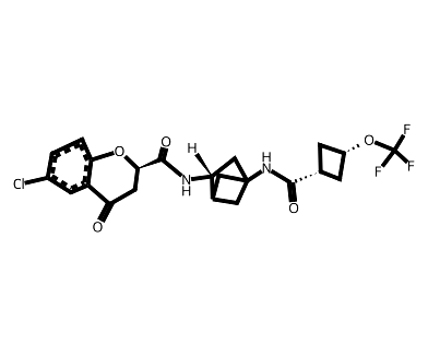 O=C1C[C@H](C(=O)N[C@@H]2CC3(NC(=O)[C@H]4C[C@@H](OC(F)(F)F)C4)CC2C3)Oc2ccc(Cl)cc21